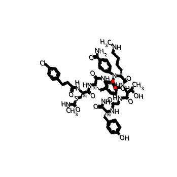 CNCCCC[C@@H](C(=O)NC(C(=O)NCC(=O)N[C@H](Cc1ccc(O)cc1)C(N)=O)C(C)O)N(C(=O)CNC(=O)[C@H](Cc1ccc(O)cc1)NC(=O)[C@@H](CSC(=O)NC)NC(=O)CCc1ccc(Cl)cc1)c1ccc(C(N)=O)cc1